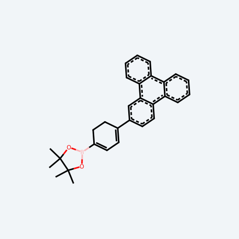 CC1(C)OB(C2=CC=C(c3ccc4c5ccccc5c5ccccc5c4c3)CC2)OC1(C)C